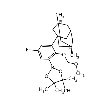 COCOc1c(B2OC(C)(C)C(C)(C)O2)cc(F)cc1C12CC3C[C@@](C)(C1)C[C@](C)(C3)C2